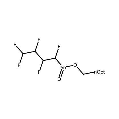 CCCCCCCCC[O][Sn](=[O])[CH](F)C(F)C(F)C(F)F